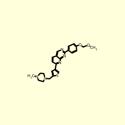 COCOc1ccc(-c2ncc3ccc(-c4csc(CN5CCN(C)CC5)c4)nc3n2)cc1